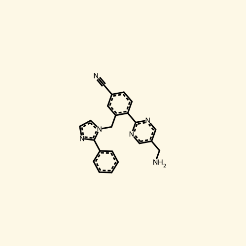 N#Cc1ccc(-c2ncc(CN)cn2)c(Cn2ccnc2-c2ccccc2)c1